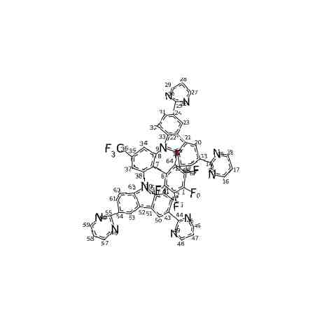 Fc1c(F)c(F)c(-c2c(-n3c4ccc(-c5ncccn5)cc4c4cc(-c5ncccn5)ccc43)cc(C(F)(F)F)cc2-n2c3ccc(-c4ncccn4)cc3c3cc(-c4ncccn4)ccc32)c(F)c1F